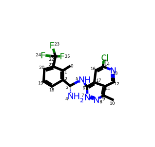 Cc1c([C@@H](N)Nc2nnc(C)c3cnc(Cl)cc23)cccc1C(F)(F)F